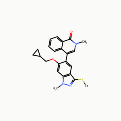 CCSc1nn(C)c2cc(OCC3CC3)c(-c3cn(C)c(=O)c4ccccc34)cc12